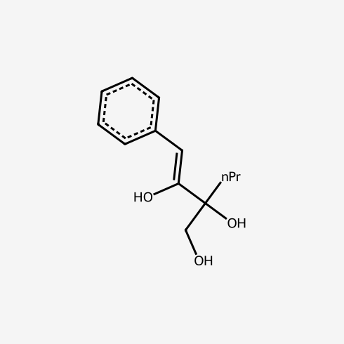 CCCC(O)(CO)C(O)=Cc1ccccc1